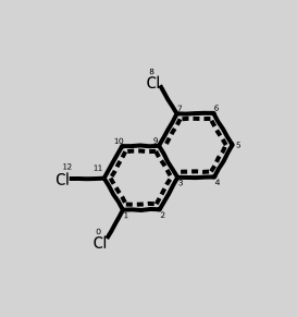 Clc1cc2cccc(Cl)c2cc1Cl